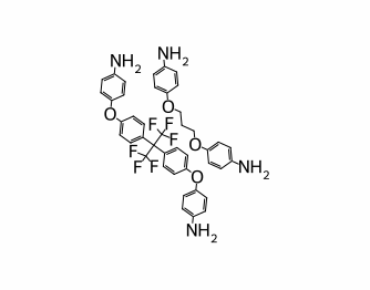 Nc1ccc(OCCCOc2ccc(N)cc2)cc1.Nc1ccc(Oc2ccc(C(c3ccc(Oc4ccc(N)cc4)cc3)(C(F)(F)F)C(F)(F)F)cc2)cc1